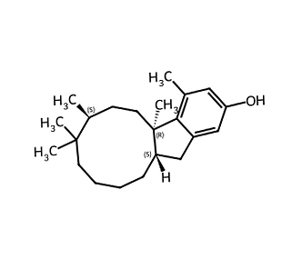 Cc1cc(O)cc2c1[C@]1(C)CC[C@H](C)C(C)(C)CCCC[C@H]1C2